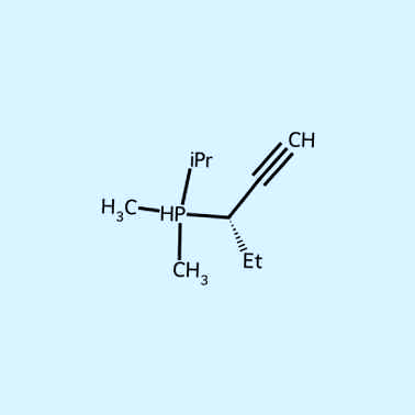 C#C[C@H](CC)[PH](C)(C)C(C)C